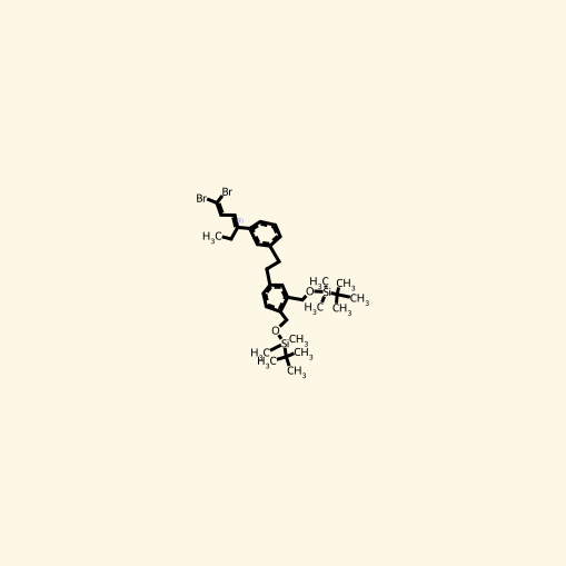 CC/C(=C\C=C(Br)Br)c1cccc(CCc2ccc(CO[Si](C)(C)C(C)(C)C)c(CO[Si](C)(C)C(C)(C)C)c2)c1